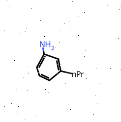 CCCc1cccc(N)c1